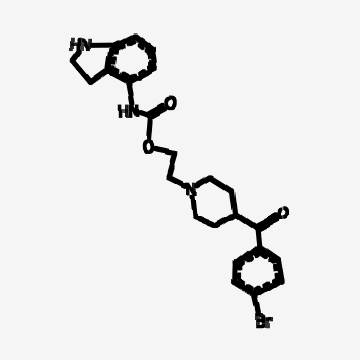 O=C(Nc1cccc2c1CCN2)OCCN1CCC(C(=O)c2ccc(Br)cc2)CC1